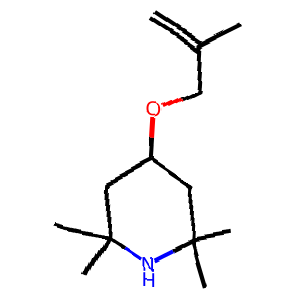 C=C(C)COC1CC(C)(C)NC(C)(C)C1